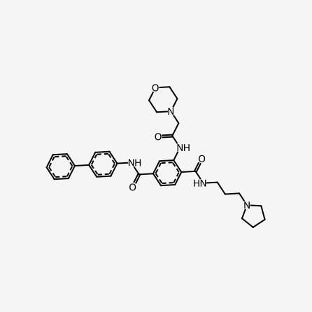 O=C(CN1CCOCC1)Nc1cc(C(=O)Nc2ccc(-c3ccccc3)cc2)ccc1C(=O)NCCCN1CCCC1